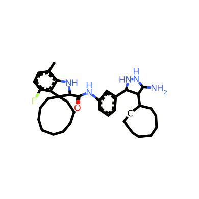 Cc1ccc(F)c2c1NC(C(=O)Nc1cccc(C3NNC(N)C3C3CCCCCCCC3)c1)C21CCCCCCCCC1